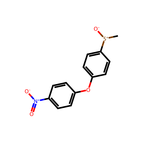 C[S+]([O-])c1ccc(Oc2ccc([N+](=O)[O-])cc2)cc1